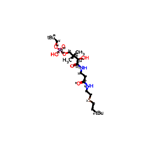 CC(C)(C)CCSCCNC(=O)CCNC(=O)C(O)C(C)(C)COP(=O)(O)OCC(C)(C)C